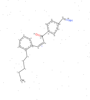 CCCCCc1ccccc1/C=C\C(=O)c1ccc(C=N)cc1